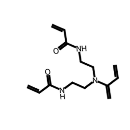 C=CC(=C)N(CCNC(=O)C=C)CCNC(=O)C=C